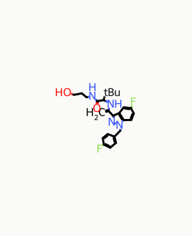 C=C(NC(C(=O)NCCCO)C(C)(C)C)c1nn(Cc2ccc(F)cc2)c2ccc(F)cc12